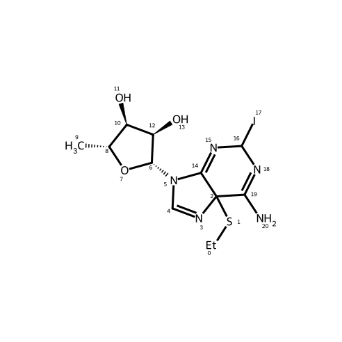 CCSC12N=CN([C@@H]3O[C@H](C)[C@@H](O)[C@H]3O)C1=NC(I)N=C2N